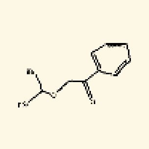 CCCCC(OCC(=O)c1ccccc1)C(C)CC